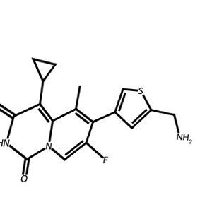 Cc1c(-c2csc(CN)c2)c(F)cn2c(=O)[nH]c(=O)c(C3CC3)c12